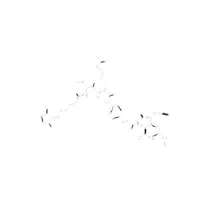 CCCCOc1nc(N)c2c(n1)n(CC#N)c(=O)n2C(=O)OCc1ccc(NC(=O)C(CCCNC(N)=O)NC(=O)C(NC(=O)CCCCCN2C(=O)C=CC2=O)C(C)C)cc1